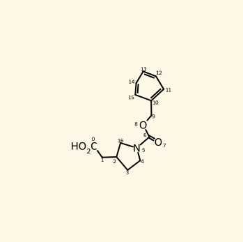 O=C(O)CC1CCN(C(=O)OCc2ccccc2)C1